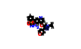 NS(=O)(=O)c1ccccc1-c1ccc2c(Oc3cn(C4CC4)nc3C3CCOCC3)ccnc2c1